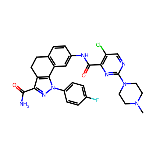 CN1CCN(c2ncc(Cl)c(C(=O)Nc3ccc4c(c3)-c3c(c(C(N)=O)nn3-c3ccc(F)cc3)CC4)n2)CC1